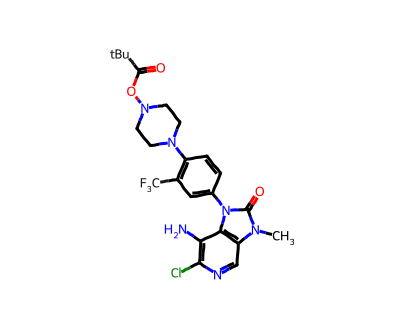 Cn1c(=O)n(-c2ccc(N3CCN(OC(=O)C(C)(C)C)CC3)c(C(F)(F)F)c2)c2c(N)c(Cl)ncc21